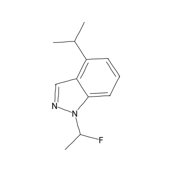 CC(C)c1cccc2c1cnn2C(C)F